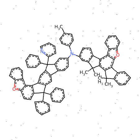 Cc1ccc(N(c2ccc3c(c2)C(C)(C)c2c4c(c5oc6ccccc6c5c2-3)-c2ccccc2C4(C)C)c2ccc3c(c2)C(c2ccccc2)(c2ccccn2)c2cc4c(cc2-3)C(c2ccccc2)(c2ccccc2)c2ccc3oc5ccccc5c3c2-4)cc1